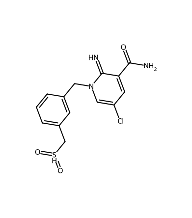 N=c1c(C(N)=O)cc(Cl)cn1Cc1cccc(C[SH](=O)=O)c1